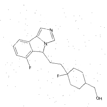 OCC1CCC(F)(CCC2c3c(F)cccc3-c3cncn32)CC1